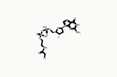 C[C@H]1C[C@H](n2cnc3c(=O)[nH]c(N)nc32)O[C@@H]1COP(=O)(O)OP(=O)(O)OCCNC(=O)CCl